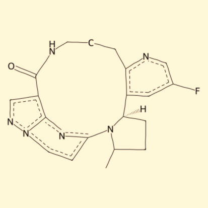 CC1CC[C@@H]2c3cc(F)cnc3CCCNC(=O)c3cnn4ccc(nc34)N12